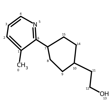 Cc1cccnc1C1CCC(CCO)CC1